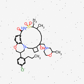 CCCc1cc(Cl)ccc1C1COc2ccc3cc2N(C1)CC1CCC1C(O)(CN1CCOC(C)C1)CCCC(C)C(C)S(=O)(=O)NC3=O